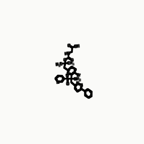 CC(C)(Cc1ccc(Br)c(C(N)(Cc2ccc(-c3ccccc3)nn2)S(=O)(=O)c2cccnc2)n1)OC(=O)NCC(=O)O